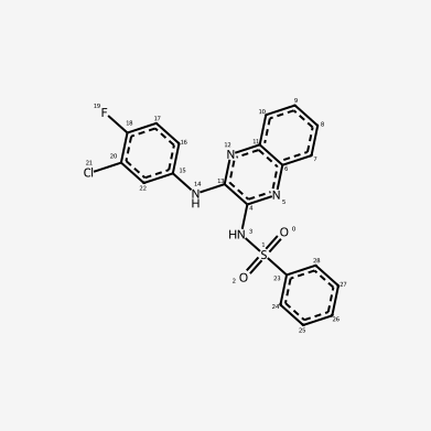 O=S(=O)(Nc1nc2ccccc2nc1Nc1ccc(F)c(Cl)c1)c1ccccc1